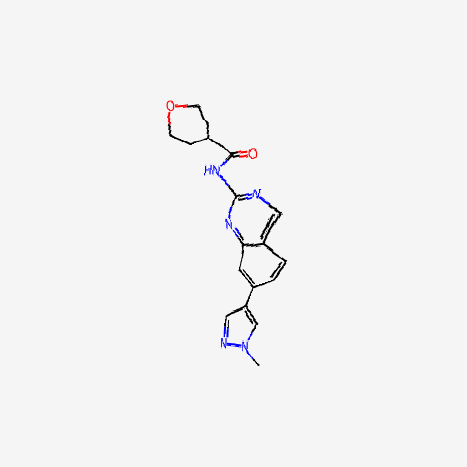 Cn1cc(-c2ccc3cnc(NC(=O)C4CCOCC4)nc3c2)cn1